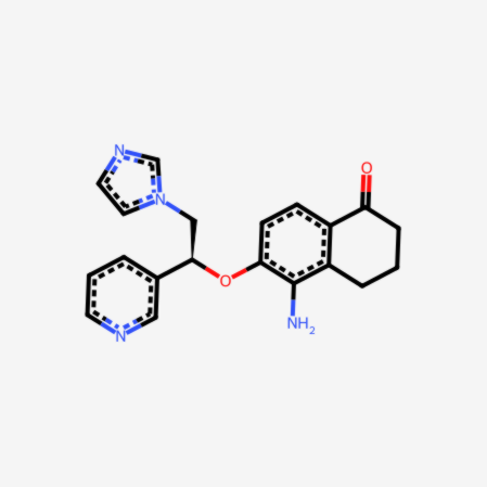 Nc1c(O[C@H](Cn2ccnc2)c2cccnc2)ccc2c1CCCC2=O